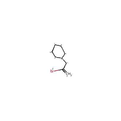 C=C(Br)CC1CCCCC1